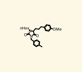 CCCCCCN1C(=O)N(Cc2ccc(C)cc2)C(=O)C1CCCc1ccc(OC)cc1